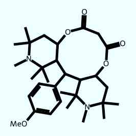 COc1ccc(C2C3C(CC(C)(C)N(C)C3(C)C)OC(=O)CC(=O)OC3CC(C)(C)N(C)C(C)(C)C32)cc1